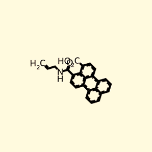 C=CCNC(=O)c1ccc2c3cccc4cccc(c5ccc(C(=O)O)c1c52)c43